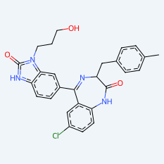 Cc1ccc(CC2N=C(c3ccc4[nH]c(=O)n(CCCO)c4c3)c3cc(Cl)ccc3NC2=O)cc1